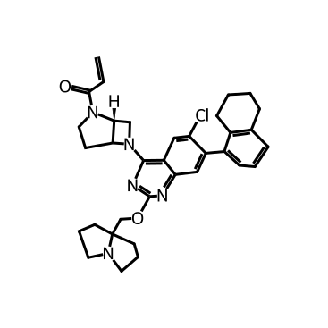 C=CC(=O)N1CCC2[C@H]1CN2c1nc(OCC23CCCN2CCC3)nc2cc(-c3cccc4c3CCCC4)c(Cl)cc12